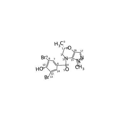 C[C@H]1CN(C(=O)c2cc(Br)c(O)c(Br)c2)c2c(cnn2C)O1